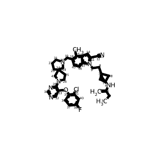 C=C(CC)NC12CC(CCn3c(C#N)cc4c(C)c(CN5CCCC6(CCN(c7ncncc7Oc7ccc(F)cc7Cl)C6)C5)ccc43)(C1)C2